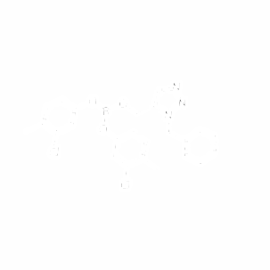 Cc1ccc(OB(OCc2cnnn2Cc2ccccc2)Oc2ccc(C)c(Cl)c2)cc1Cl